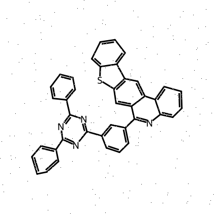 c1ccc(-c2nc(-c3ccccc3)nc(-c3cccc(-c4nc5ccccc5c5cc6c(cc45)sc4ccccc46)c3)n2)cc1